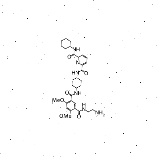 COc1cc(OC)c(C(=O)NC2CCC(NC(=O)c3cccc(C(=O)NC4CCCCC4)n3)CC2)cc1C(=O)NCCN